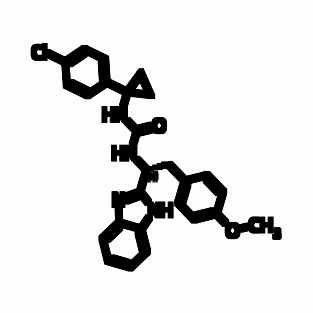 COc1ccc(C[C@@H](NC(=O)NC2(c3ccc(Cl)cc3)CC2)c2nc3ccccc3[nH]2)cc1